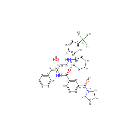 O=C(N[C@@H](Cc1ccccc1)[C@H](O)CNC1(c2cccc(C(F)(F)F)c2)CCCCC1)c1cccc(C(=O)N2CCSC2)c1